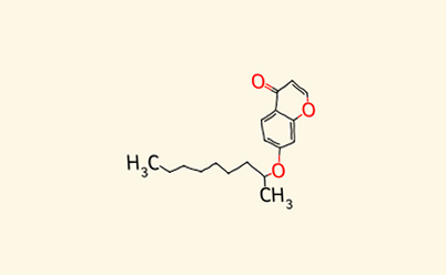 CCCCCCCC(C)Oc1ccc2c(=O)ccoc2c1